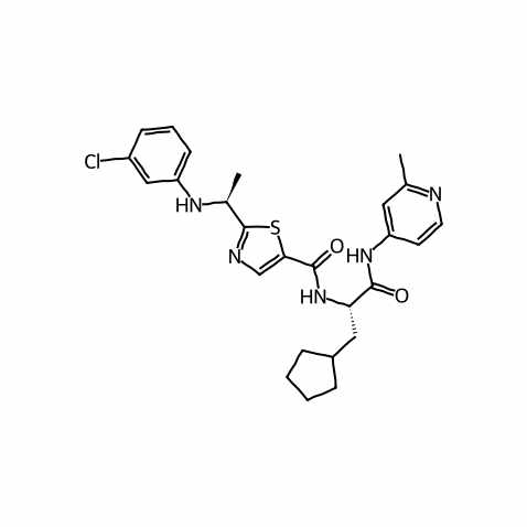 Cc1cc(NC(=O)[C@H](CC2CCCC2)NC(=O)c2cnc([C@H](C)Nc3cccc(Cl)c3)s2)ccn1